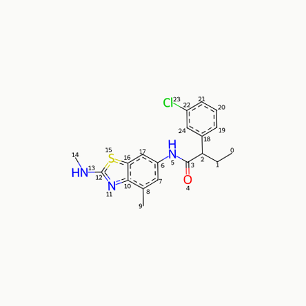 CCC(C(=O)Nc1cc(C)c2nc(NC)sc2c1)c1cccc(Cl)c1